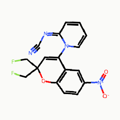 N#C/N=c1/ccccn1C1=CC(CF)(CF)Oc2ccc([N+](=O)[O-])cc21